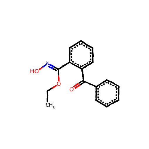 CCOC(=NO)c1ccccc1C(=O)c1ccccc1